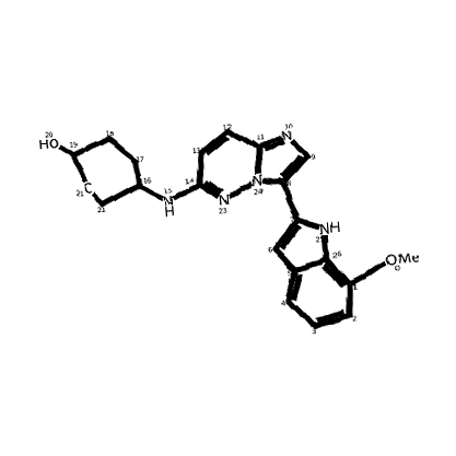 COc1cccc2cc(-c3cnc4ccc(NC5CCC(O)CC5)nn34)[nH]c12